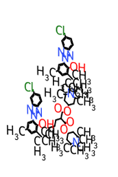 CCCCC(C(=O)OC1CC(C)(C)N(C)C(C)(C)C1)C(=O)OC1CC(C)(C)N(C)C(C)(C)C1.Cc1cc(-n2nc3ccc(Cl)cc3n2)c(O)c(C(C)(C)C)c1.Cc1cc(-n2nc3ccc(Cl)cc3n2)c(O)c(C(C)(C)C)c1